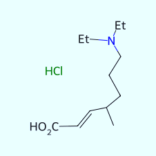 CCN(CC)CCCC(C)C=CC(=O)O.Cl